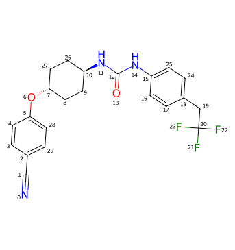 N#Cc1ccc(O[C@H]2CC[C@H](NC(=O)Nc3ccc(CC(F)(F)F)cc3)CC2)cc1